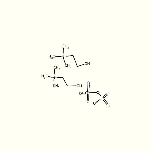 C[N+](C)(C)CCO.C[N+](C)(C)CCO.[O]=[Cr](=[O])([O-])[O][Cr](=[O])(=[O])[O-]